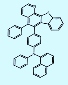 c1ccc(-c2c(-c3ccc(N(c4ccccc4)c4cccc5ccccc45)cc3)c3c4ccccc4sc3c3ncccc23)cc1